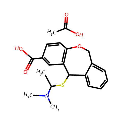 CC(=O)O.CC(SC1c2ccccc2COc2ccc(C(=O)O)cc21)N(C)C